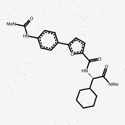 CNC(=O)Nc1ccc(-c2ccc(C(=O)N[C@H](C(=O)NC)C3CCCCC3)o2)cc1